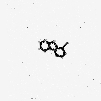 Cc1cccc2c1sc1ncccc12